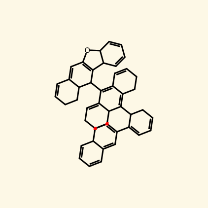 C1=CCC(C2=C3CCC=CC3=C(C3C4=C(C=C5C=CCCC53)OC3C=CC=CC43)C3=CCCCC32)C(C2=CCC3C=CC=CC3=C2)=C1